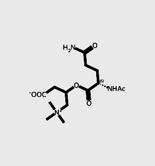 CC(=O)N[C@@H](CCC(N)=O)C(=O)OC(CC(=O)[O-])C[N+](C)(C)C